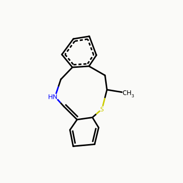 CC1Cc2ccccc2CN/C=C2/C=CC=CC2S1